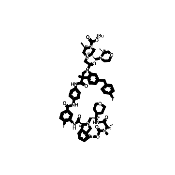 C[C@@H]1COCCN1C[C@H]1CN(C(=O)OC(C)(C)C)[C@H](C)CN1CC(=O)N1CC(C)(C(=O)Nc2ccc(NC(=O)c3ccc(F)c(NC(=O)[C@@H]4c5ccccc5CN4C[C@@H](NC(=O)[C@H](C)N(C)C(=O)OC(C)(C)C)C4CCOCC4)c3)cc2)c2ccc(Cc3ccc(F)cc3)cc21